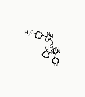 Cc1ccc(-c2nnc(CSc3nnc(-c4ccncc4)n3-c3ccccc3Cl)o2)cc1